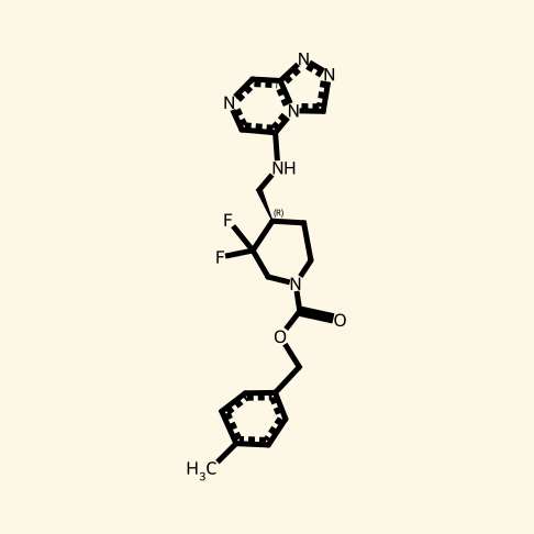 Cc1ccc(COC(=O)N2CC[C@H](CNc3cncc4nncn34)C(F)(F)C2)cc1